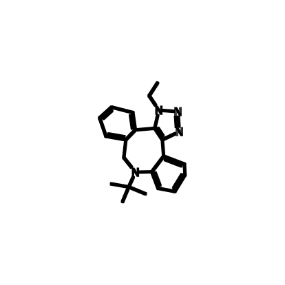 CCn1nnc2c1-c1ccccc1CN(C(C)(C)C)c1ccccc1-2